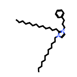 CCCCCCCCCCCCCc1n(CCCCCCCCCCCC)cc[n+]1CCCc1ccccc1